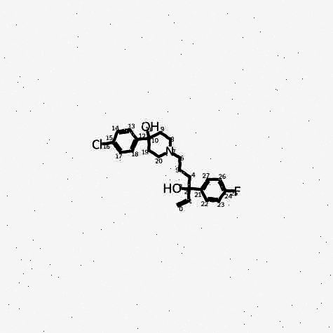 C=CC(O)(CCCN1CCC(O)(c2ccc(Cl)cc2)CC1)c1ccc(F)cc1